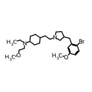 CCN(CCOC)C1CCC(CCN2CCC(Cc3cc(OC)ccc3Br)C2)CC1